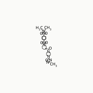 CCN(CC)S(=O)(=O)c1ccc(S(=O)(=O)N2CCC[C@@H](C(=O)N3CCN(c4nc(C)no4)CC3)C2)cc1